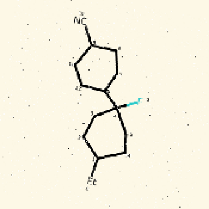 CCC1CCC(F)(C2CCC(C#N)CC2)CC1